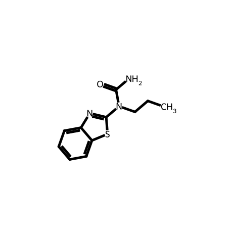 CCCN(C(N)=O)c1nc2ccccc2s1